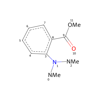 CNN(NC)c1ccccc1C(=O)OC